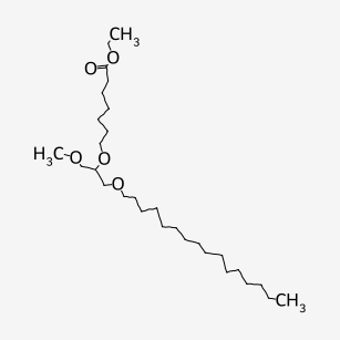 CCCCCCCCCCCCCCCCOCC(COC)OCCCCCCC(=O)OCC